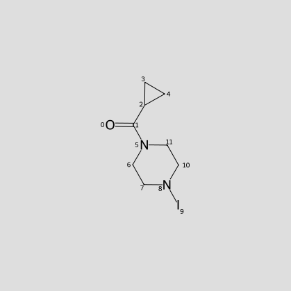 O=C(C1CC1)N1CCN(I)CC1